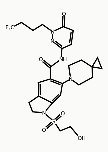 O=C(Nc1ccc(=O)n(CCCC(F)(F)F)n1)c1cc2c(cc1N1CCC3(CC1)CC3)N(S(=O)(=O)CCO)CC2